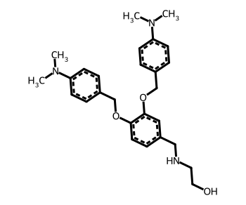 CN(C)c1ccc(COc2ccc(CNCCO)cc2OCc2ccc(N(C)C)cc2)cc1